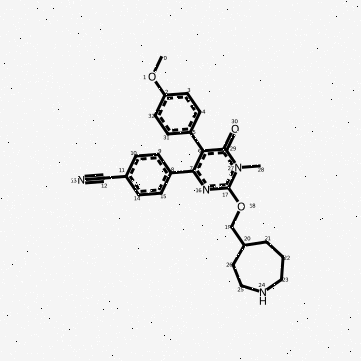 COc1ccc(-c2c(-c3ccc(C#N)cc3)nc(OCC3CCCNCC3)n(C)c2=O)cc1